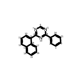 c1ccc(-c2ncnc(-c3cccc4ccccc34)n2)cc1